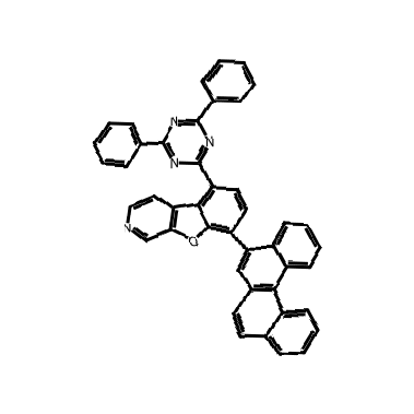 c1ccc(-c2nc(-c3ccccc3)nc(-c3ccc(-c4cc5ccc6ccccc6c5c5ccccc45)c4oc5cnccc5c34)n2)cc1